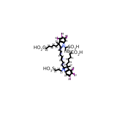 CCCCC(N1\C(=C/C=C/C=C/C=C/C2=[N+](CCCS(=O)(=O)O)c3cc(I)c(I)c(I)c3C2(C)CCCCCC(=O)O)C(C)(CCCCCC(=O)O)c2c1cc(I)c(I)c2I)S(=O)(=O)O